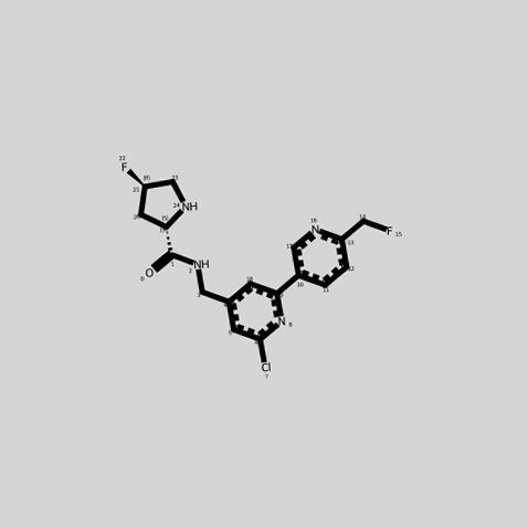 O=C(NCc1cc(Cl)nc(-c2ccc(CF)nc2)c1)[C@@H]1C[C@@H](F)CN1